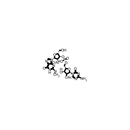 C=Nc1nc2c(ncn2[C@@H]2O[C@H](CO)[C@H](OP(=O)(O)OC[C@H]3O[C@@H](n4cnc(N)nc4=O)C(OC(C)=O)[C@H]3O)[C@@H]2OC(C)=O)c(=O)[nH]1